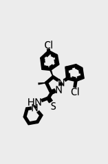 C[C@@H]1C(C(=S)NN2CCCCC2)=NN(c2ccccc2Cl)[C@@H]1c1ccc(Cl)cc1